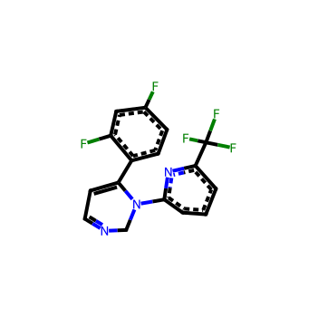 Fc1ccc(C2=CC=NCN2c2cccc(C(F)(F)F)n2)c(F)c1